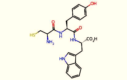 N[C@@H](CS)C(=O)N[C@@H](Cc1ccc(O)cc1)C(=O)N[C@@H](Cc1c[nH]c2ccccc12)C(=O)O